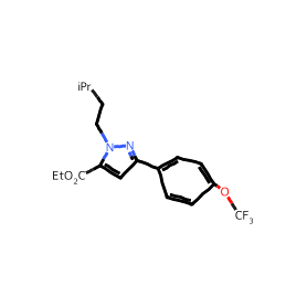 CCOC(=O)c1cc(-c2ccc(OC(F)(F)F)cc2)nn1CCC(C)C